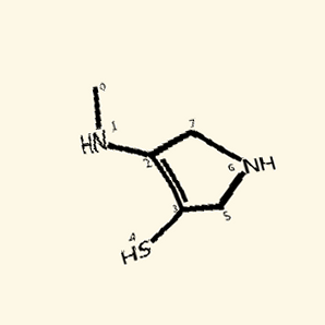 CNC1=C(S)CNC1